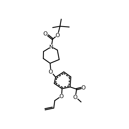 C=CCOc1cc(OC2CCN(C(=O)OC(C)(C)C)CC2)ccc1C(=O)OC